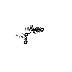 COc1ccc(CN2CNC(=O)c3[nH]c(C(C)(C)OCc4ccccc4)nc32)cc1OCc1ccccc1